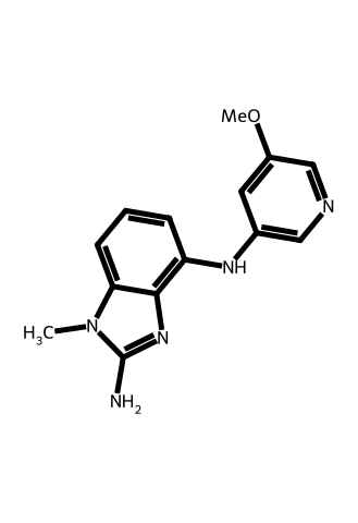 COc1cncc(Nc2cccc3c2nc(N)n3C)c1